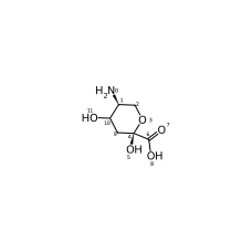 N[C@H]1CO[C@](O)(C(=O)O)CC1O